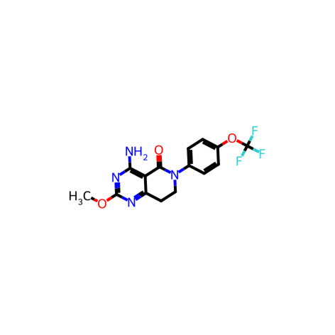 COc1nc(N)c2c(n1)CCN(c1ccc(OC(F)(F)F)cc1)C2=O